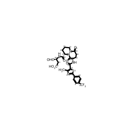 Cc1nc(-c2ccc(C(F)(F)F)cc2)sc1C(=O)N[C@H]1CCC(=O)N2CCC[C@@H](C(=O)N[C@H](C=O)CC(=O)O)N2C1=O